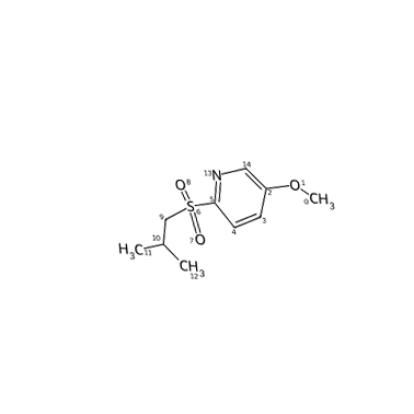 COc1ccc(S(=O)(=O)CC(C)C)nc1